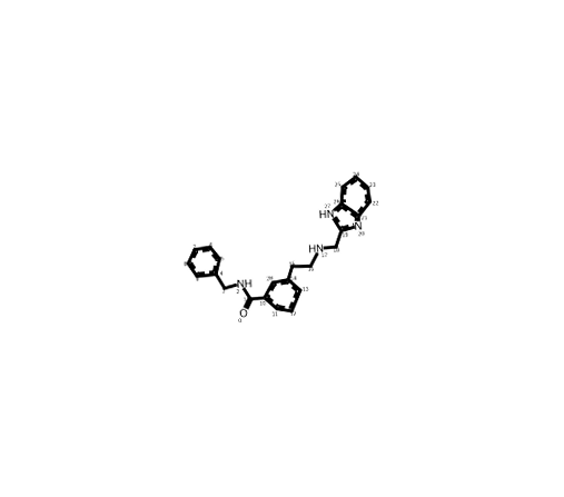 O=C(NCc1ccccc1)c1cccc(CCNCc2nc3ccccc3[nH]2)c1